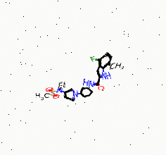 CCN([C@@H]1CCN([C@@H]2CCC[C@@H](NC(=O)c3cc4c(F)ccc(C)c4[nH]3)C2)C1)S(C)(=O)=O